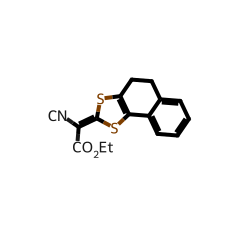 [C-]#[N+]/C(C(=O)OCC)=C1\SC2=C(S1)c1ccccc1CC2